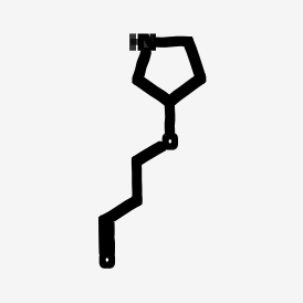 O=CCCOC1CCNC1